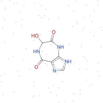 O=C1NC(O)C(=O)Nc2[nH]cnc21